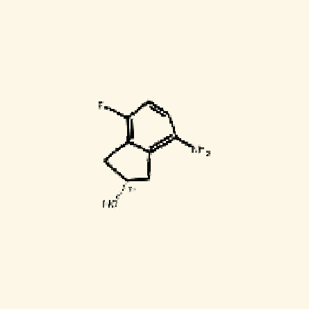 Nc1ccc(F)c2c1C[C@H](O)C2